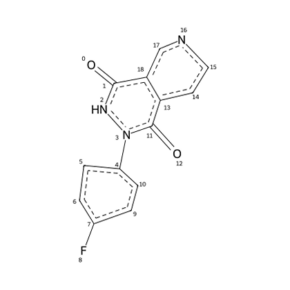 O=c1[nH]n(-c2ccc(F)cc2)c(=O)c2ccncc12